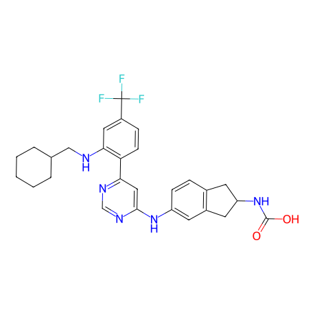 O=C(O)NC1Cc2ccc(Nc3cc(-c4ccc(C(F)(F)F)cc4NCC4CCCCC4)ncn3)cc2C1